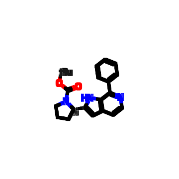 CC(C)(C)OC(=O)N1CCC[C@H]1c1cc2ccnc(-c3ccccc3)c2[nH]1